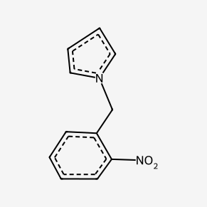 O=[N+]([O-])c1ccccc1Cn1cccc1